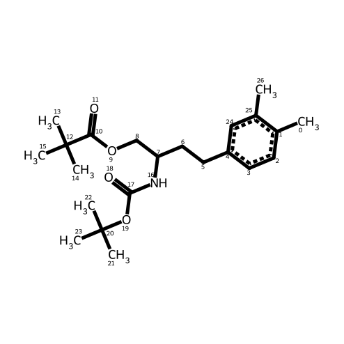 Cc1ccc(CCC(COC(=O)C(C)(C)C)NC(=O)OC(C)(C)C)cc1C